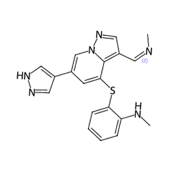 C/N=C\c1cnn2cc(-c3cn[nH]c3)cc(Sc3ccccc3NC)c12